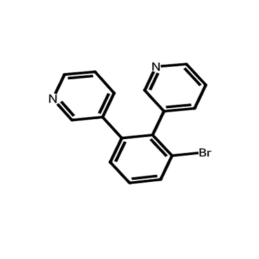 Brc1cccc(-c2cccnc2)c1-c1cccnc1